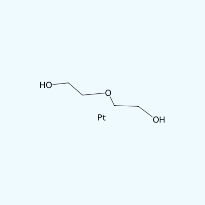 OCCOCCO.[Pt]